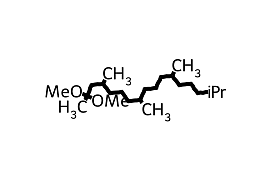 COC(C)(CC(C)CCCC(C)CCCC(C)CCCC(C)C)OC